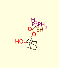 O=C(OCC12CC3CC(CC(O)(C3)C1)C2)C(P)(P)S